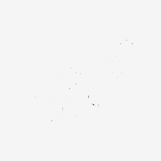 CS(=O)(=O)Nc1cc([C@H](O)CN[C@H](Cc2ccccc2)c2ccc3ccccc3c2)ccc1O